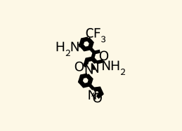 CC(c1cc(N)cc(C(F)(F)F)c1)c1cc(=O)n(-c2cccc(-c3ccon3)c2)nc1C(N)=O